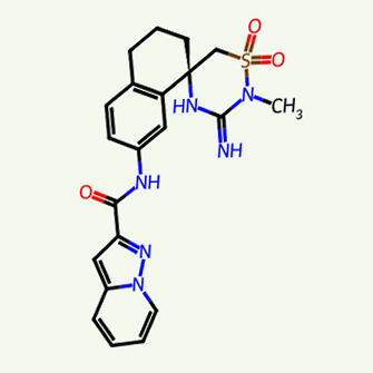 CN1C(=N)N[C@@]2(CCCc3ccc(NC(=O)c4cc5ccccn5n4)cc32)CS1(=O)=O